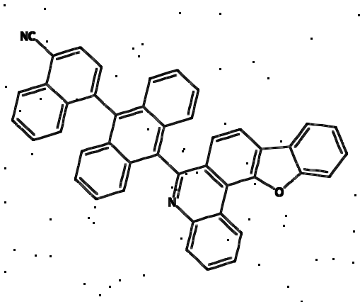 N#Cc1ccc(-c2c3ccccc3c(-c3nc4ccccc4c4c3ccc3c5ccccc5oc34)c3ccccc23)c2ccccc12